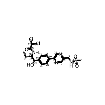 CS(=O)(=O)NCc1cnc(-c2ccc([C@@H](O)[C@@H](CF)NC(=O)C(Cl)Cl)cc2)cn1